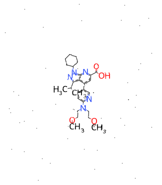 COCCN(CCOC)c1ccc(-c2cc(C(=O)O)nc3c2c(C(C)C)nn3C2CCCCC2)cn1